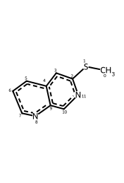 CSc1cc2cccnc2cn1